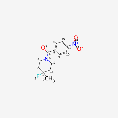 CC1(F)CCN(C(=O)c2ccc([N+](=O)[O-])cc2)CC1